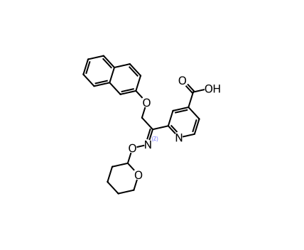 O=C(O)c1ccnc(/C(COc2ccc3ccccc3c2)=N/OC2CCCCO2)c1